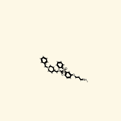 NCCCOc1cccc([SH](=O)(C(=O)OCC2CCN(Cc3ccccc3)CC2)c2ccccc2)c1